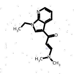 CCn1cc(C(=O)/C=C/N(C)C)c2cccnc21